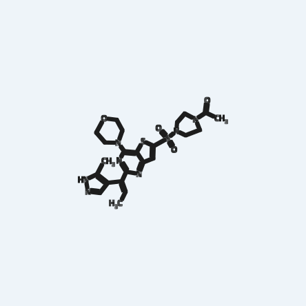 C/C=C(/c1nc(N2CCOCC2)c2sc(S(=O)(=O)N3CCN(C(C)=O)CC3)cc2n1)c1cn[nH]c1C